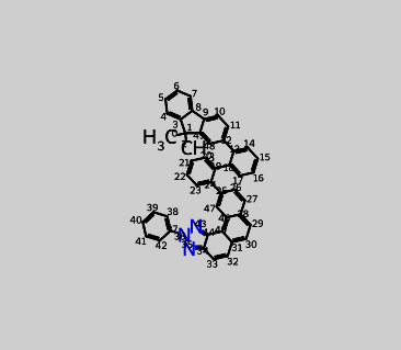 CC1(C)c2ccccc2-c2ccc(-c3ccccc3-c3ccccc3-c3ccc4ccc5ccc6nn(-c7ccccc7)nc6c5c4c3)cc21